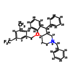 FC(F)(F)c1cc(COC2CCN(Cc3ccccc3)CC2C(c2ccccc2)c2ccccc2)cc(C(F)(F)F)c1